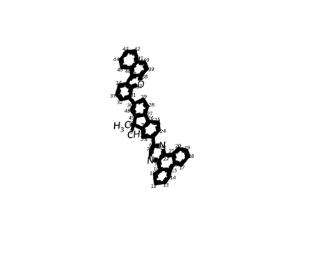 CC1(C)c2cc(-c3cnc4c5ccccc5c5ccccc5c4n3)ccc2-c2ccc(-c3cccc4c3oc3ccc5ccccc5c34)cc21